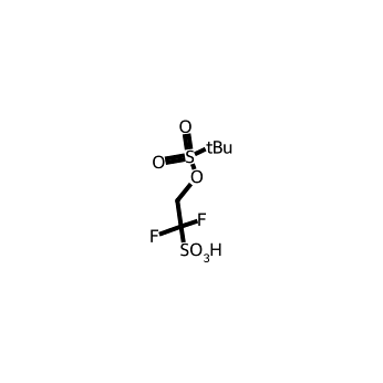 CC(C)(C)S(=O)(=O)OCC(F)(F)S(=O)(=O)O